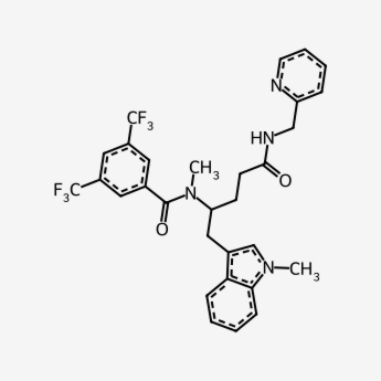 CN(C(=O)c1cc(C(F)(F)F)cc(C(F)(F)F)c1)C(CCC(=O)NCc1ccccn1)Cc1cn(C)c2ccccc12